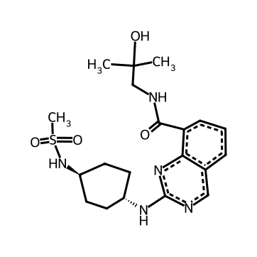 CC(C)(O)CNC(=O)c1cccc2cnc(N[C@H]3CC[C@H](NS(C)(=O)=O)CC3)nc12